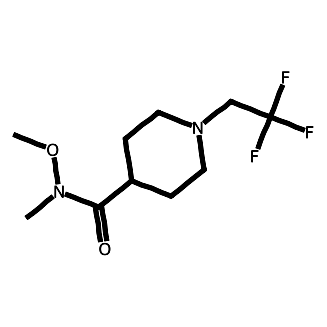 CON(C)C(=O)C1CCN(CC(F)(F)F)CC1